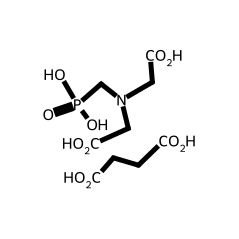 O=C(O)CCC(=O)O.O=C(O)CN(CC(=O)O)CP(=O)(O)O